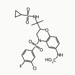 CC(C)(NS(=O)(=O)C1CC1)C1CN(S(=O)(=O)c2ccc(F)c(Cl)c2)c2cc(NC(=O)O)ccc2O1